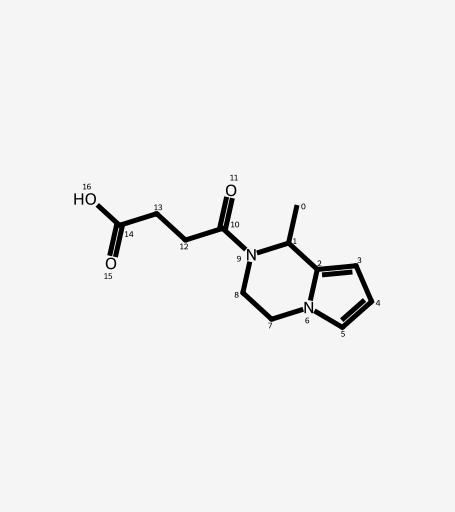 CC1c2cccn2CCN1C(=O)CCC(=O)O